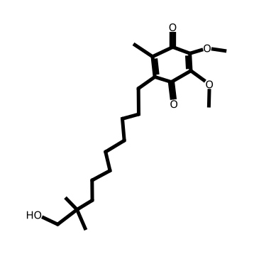 COC1=C(OC)C(=O)C(CCCCCCCCC(C)(C)CO)=C(C)C1=O